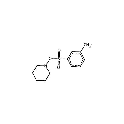 [CH2]c1cccc(S(=O)(=O)ON2CCCCC2)c1